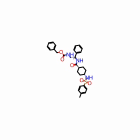 Cc1ccc(S(=O)(=O)N[C@H]2CC[C@H](C(=O)N[C@H](CNC(=O)OCc3ccccc3)c3ccccc3)CC2)cc1